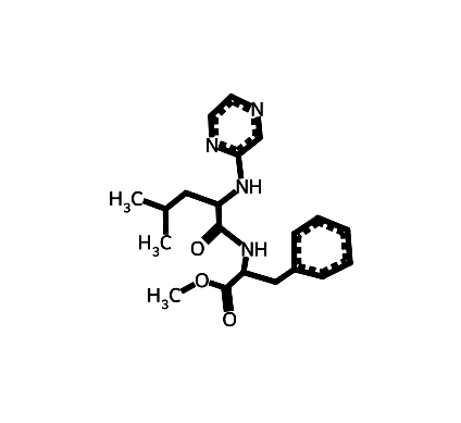 COC(=O)C(Cc1ccccc1)NC(=O)C(CC(C)C)Nc1cnccn1